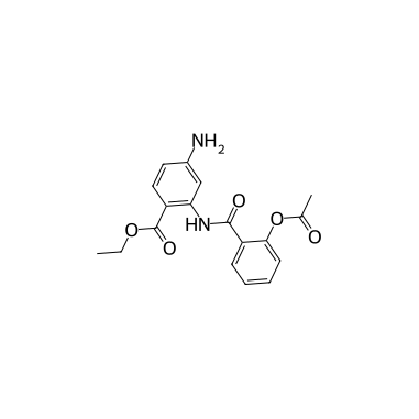 CCOC(=O)c1ccc(N)cc1NC(=O)c1ccccc1OC(C)=O